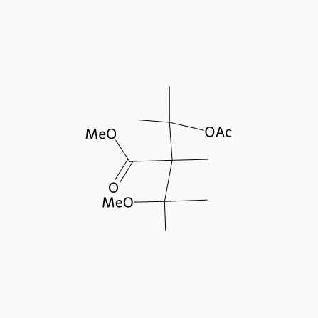 COC(=O)C(C)(C(C)(C)OC)C(C)(C)OC(C)=O